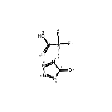 O=C(O)C(F)(F)F.O=C1N=NN=N1